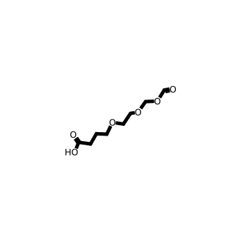 O=COCOCCOCCCC(=O)O